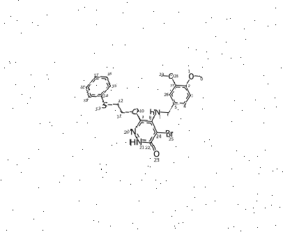 COc1ccc(CNc2c(OCCSc3ccccc3)n[nH]c(=O)c2Br)cc1OC